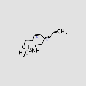 C=C/C=C(\C=C/CCC)CCNC